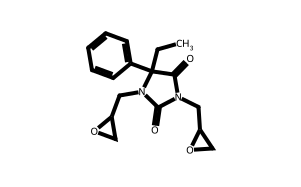 CCC1(c2ccccc2)C(=O)N(CC2CO2)C(=O)N1CC1CO1